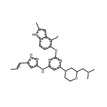 C/C=C/c1cc(Nc2cc(N3CCOC(CN(C)C)C3)nc(Oc3ccc4[nH]c(C)cc4c3F)n2)n[nH]1